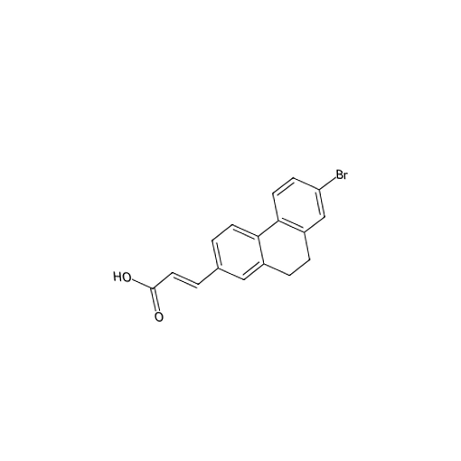 O=C(O)C=Cc1ccc2c(c1)CCc1cc(Br)ccc1-2